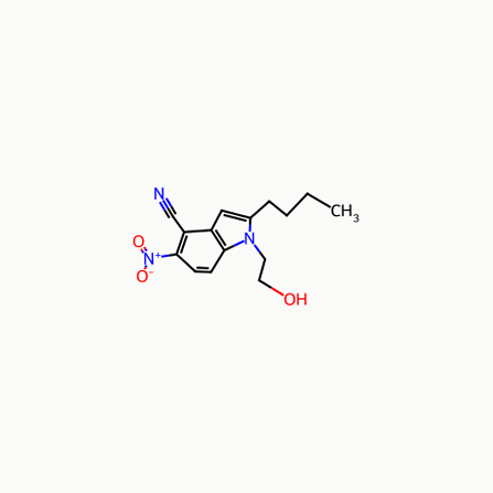 CCCCc1cc2c(C#N)c([N+](=O)[O-])ccc2n1CCO